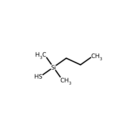 CCC[Si](C)(C)S